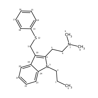 CCCn1c(CCN(C)C)c(CSc2ccccc2)c2ccccc21